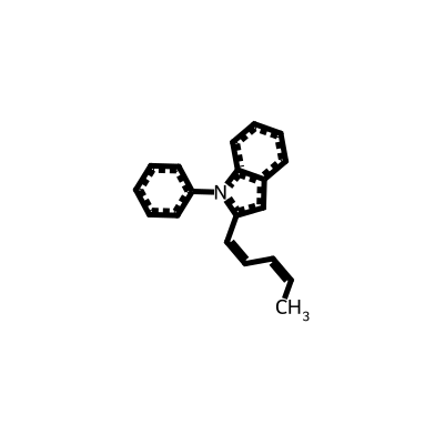 C/C=C\C=C/c1cc2ccccc2n1-c1ccccc1